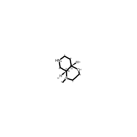 CN1CCO[C@H]2CCNC[C@H]21